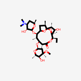 CC[C@H]1OC(=O)[C@H](C)[C@@H](O[C@H]2C[C@@](C)(OC)[C@@H](O)[C@H](C)O2)[C@H](C)[C@@H](O[C@@H]2O[C@H](C)C[C@H](N(C)C)[C@H]2O)[C@@]2(C)C[C@@H](C)[C@@]3(O[C@@]1(C)[C@H](O)[C@H]3C)O2